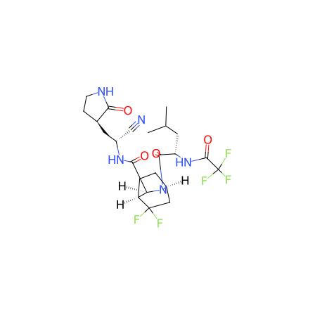 CC(C)C[C@H](NC(=O)C(F)(F)F)C(=O)N1[C@H]2CC[C@@H]([C@H]1C(=O)N[C@@H](C#N)C[C@H]1CCNC1=O)C(F)(F)C2